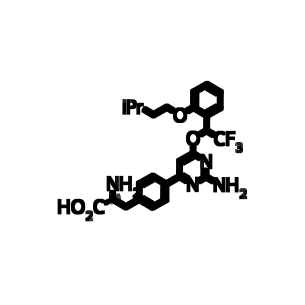 CC(C)CCOc1ccccc1C(Oc1cc(-c2ccc(C[C@H](N)C(=O)O)cc2)nc(N)n1)C(F)(F)F